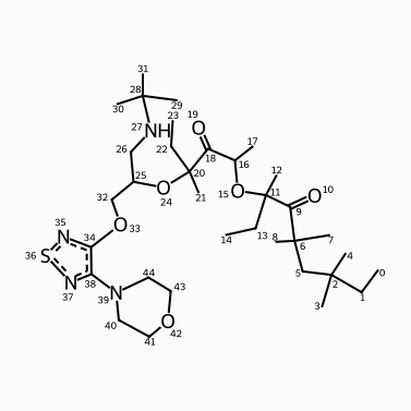 CCC(C)(C)CC(C)(C)C(=O)C(C)(CC)OC(C)C(=O)C(C)(CC)OC(CNC(C)(C)C)COc1nsnc1N1CCOCC1